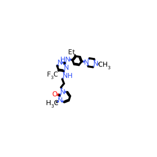 CCc1cc(N2CCN(C)CC2)ccc1Nc1ncc(C(F)(F)F)c(NCCCN2C=CC=CN(C)C2=O)n1